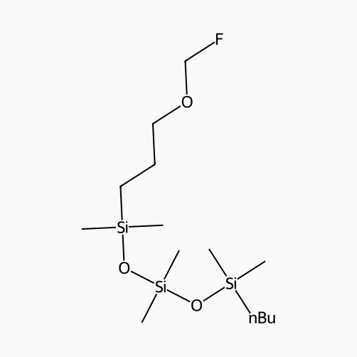 CCCC[Si](C)(C)O[Si](C)(C)O[Si](C)(C)CCCOCF